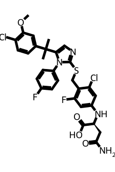 COc1cc(C(C)(C)c2cnc(SCc3c(F)cc(N[C@@H](CC(N)=O)C(=O)O)cc3Cl)n2-c2ccc(F)cc2)ccc1Cl